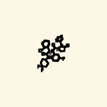 O=C(NC1CCC(F)(F)CC1)[C@H](c1ccccc1Cl)N(C(=O)[C@@H]1CCC(=O)N1c1cscn1)c1cccc(F)c1